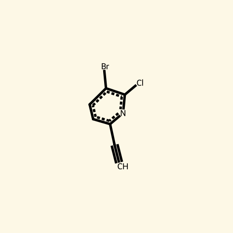 C#Cc1ccc(Br)c(Cl)n1